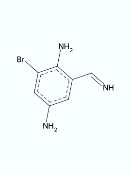 N=Cc1cc(N)cc(Br)c1N